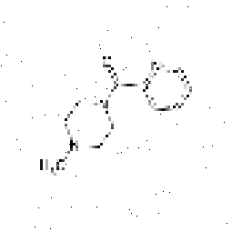 CN1CCN(C(=O)c2ccccn2)CC1